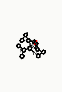 N#Cc1cc(-c2cc(-c3ccccc3)nc(-c3ccccc3)c2)cc(-n2c3ccccc3c3cc(-c4ccccc4-c4ccccc4)ccc32)c1-n1c2ccccc2c2cc(-c3ccccc3-c3ccccc3)ccc21